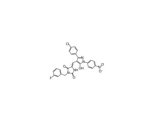 O=C1N/C(=C\c2c(-c3ccc(Cl)cc3)nn(-c3ccc([N+](=O)[O-])cc3)c2O)C(=O)N1Cc1cccc(F)c1